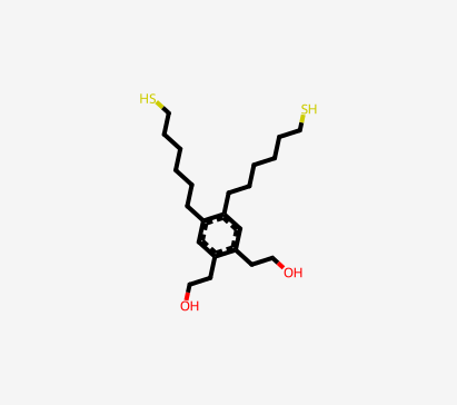 OCCc1cc(CCCCCCS)c(CCCCCCS)cc1CCO